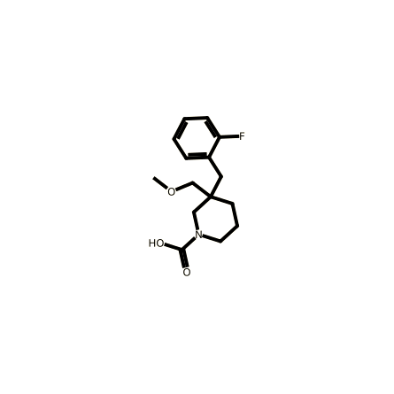 COCC1(Cc2ccccc2F)CCCN(C(=O)O)C1